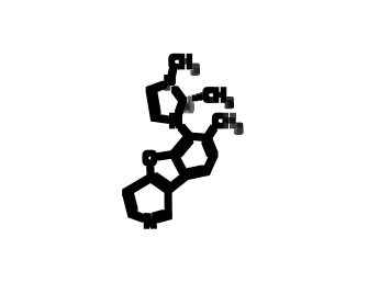 Cc1ccc2c(oc3ccncc32)c1N1C=CP(C)[C@@H]1C